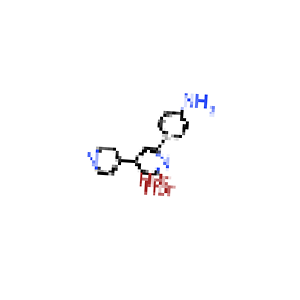 Br.Br.Nc1ccc(-c2cc(-c3ccncc3)ccn2)cc1